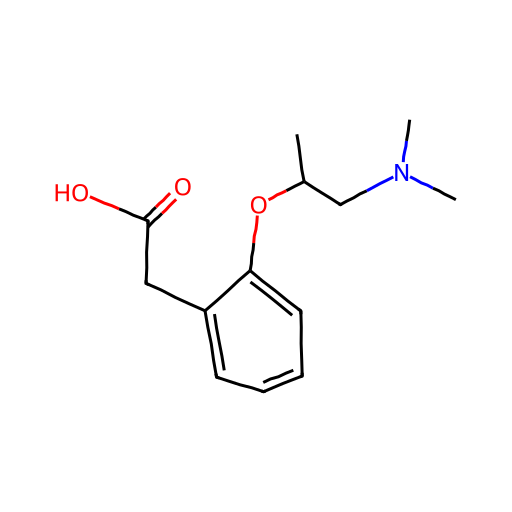 CC(CN(C)C)Oc1ccccc1CC(=O)O